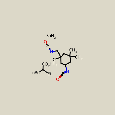 CC1(C)CC(N=C=O)CC(C)(CN=C=O)C1.CCCCC(CC)C(=O)O.[SnH2]